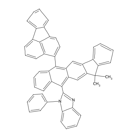 CC1(C)c2ccccc2-c2cc3c(-c4ccc5c6c(cccc46)-c4ccccc4-5)c4ccccc4c(-c4nc5ccccc5n4-c4ccccc4)c3cc21